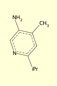 Cc1cc(C(C)C)ncc1N